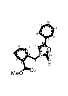 COC(=O)c1cccnc1Cn1cc(-c2ccccc2)oc1=O